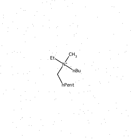 CCCCCC[N+](C)(CC)CCCC